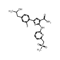 CC(O)Cc1ccc(-c2cc(C(N)=O)c(Nc3cccc(CS(C)(=O)=O)n3)s2)c(F)c1